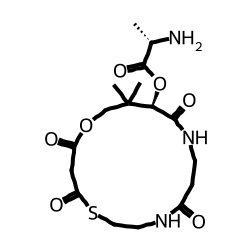 C[C@H](N)C(=O)O[C@H]1C(=O)NCCC(=O)NCCSC(=O)CC(=O)OCC1(C)C